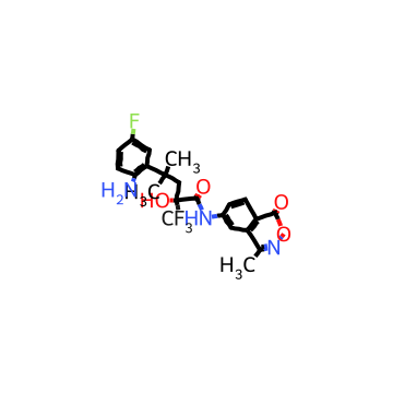 Cc1noc(=O)c2ccc(NC(=O)C(O)(CC(C)(C)c3cc(F)ccc3N)C(F)(F)F)cc12